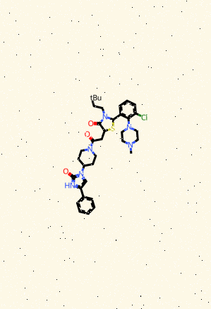 CN1CCN(c2c(Cl)cccc2C2SC(CC(=O)N3CCC(n4cc(-c5ccccc5)[nH]c4=O)CC3)C(=O)N2CCC(C)(C)C)CC1